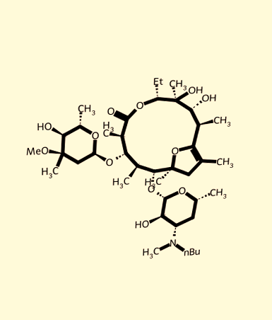 CCCCN(C)[C@H]1C[C@@H](C)O[C@@H](O[C@@H]2[C@@H](C)[C@H](O[C@H]3C[C@@](C)(OC)[C@@H](O)[C@H](C)O3)[C@@H](C)C(=O)O[C@H](CC)[C@@](C)(O)[C@H](O)[C@@H](C)C3=C(C)C[C@]2(C)O3)[C@@H]1O